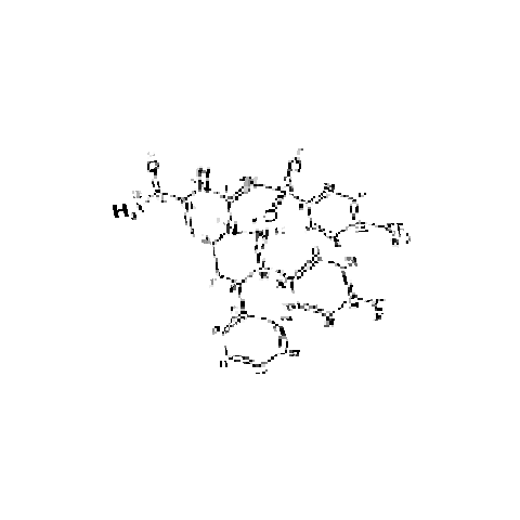 C=C(N/C(=N/S(=O)(=O)c1ccc(C(F)(F)F)cc1)N1CCC(c2ccccc2)C(c2ccc(Cl)cc2)=N1)C(N)=O